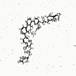 COc1nc(-c2cccc(-c3ccnc(-c4ccn5c(=O)c(CNC[C@H]6CCC(=O)N6)cnc5c4)c3Cl)c2Cl)ccc1CNC[C@H]1CCC(=O)N1